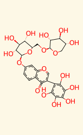 O=c1c(-c2c(O)c(O)c(O)c(O)c2O)coc2cc(O[C@@H]3O[C@H](CO[C@@H]4OC[C@@H](O)[C@H](O)[C@H]4O)[C@@H](O)[C@H](O)[C@H]3O)ccc12